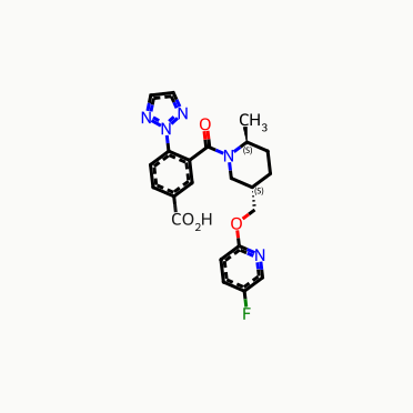 C[C@H]1CC[C@H](COc2ccc(F)cn2)CN1C(=O)c1cc(C(=O)O)ccc1-n1nccn1